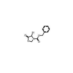 CCC1C(=O)OCN1C(=O)OCc1ccccc1